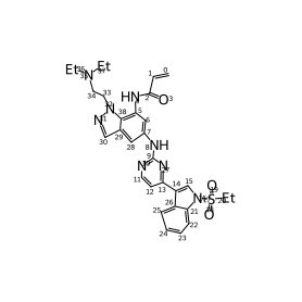 C=CC(=O)Nc1cc(Nc2nccc(-c3cn(S(=O)(=O)CC)c4ccccc34)n2)cc2cnn(CCN(CC)CC)c12